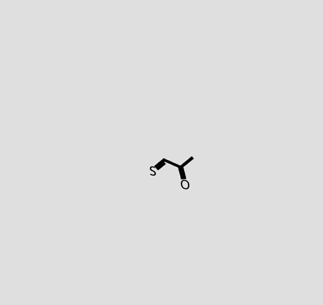 CC(=O)C=S